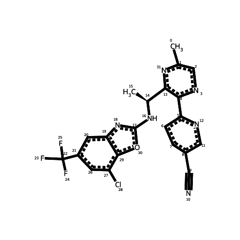 Cc1cnc(-c2ccc(C#N)cn2)c([C@H](C)Nc2nc3cc(C(F)(F)F)cc(Cl)c3o2)n1